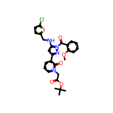 COc1ccccc1C(=O)n1nc(-c2cccn(CC(=O)OC(C)(C)C)c2=O)cc1NCc1ccc(Cl)s1